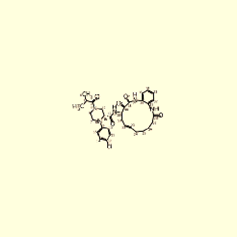 CC(C)C(=O)N1CCN(c2ccc(Cl)cc2)[C@@H](C(=O)N[C@@H]2C/C=C/CCCCC(=O)Nc3ccccc3NC(=O)C2=O)C1